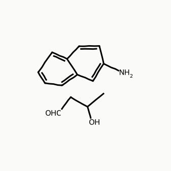 CC(O)CC=O.Nc1ccc2ccccc2c1